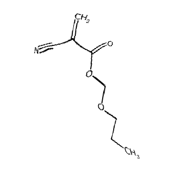 C=C(C#N)C(=O)OCOCCC